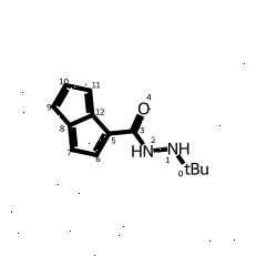 CC(C)(C)NNC(=O)C1=CC=C2C=CC=C21